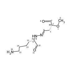 CO[C@@H](C=O)CC=NN[C@H](C=O)CCCCN